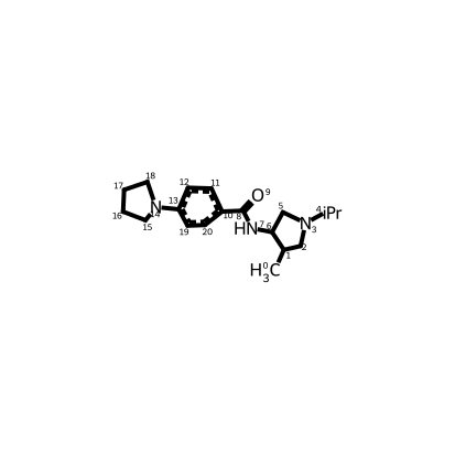 CC1CN(C(C)C)CC1NC(=O)c1ccc(N2CCCC2)cc1